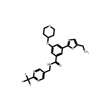 CCc1cnc(-c2cc(OC3CCOCC3)cc(C(=O)NCc3cnc(C(F)(F)F)nc3)c2)s1